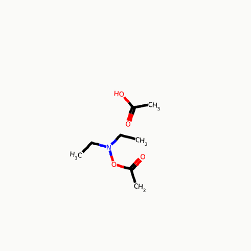 CC(=O)O.CCN(CC)OC(C)=O